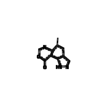 Cc1cc2cn[nH]c2c2c(=O)ocnc12